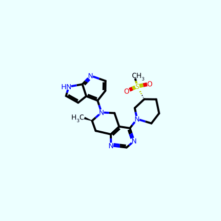 C[C@@H]1Cc2ncnc(N3CCC[C@@H](S(C)(=O)=O)C3)c2CN1c1ccnc2[nH]ccc12